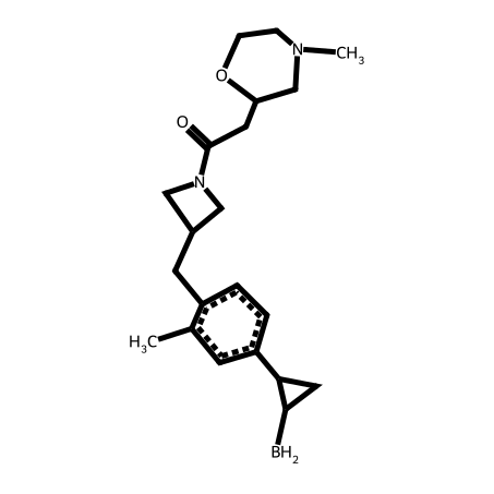 BC1CC1c1ccc(CC2CN(C(=O)CC3CN(C)CCO3)C2)c(C)c1